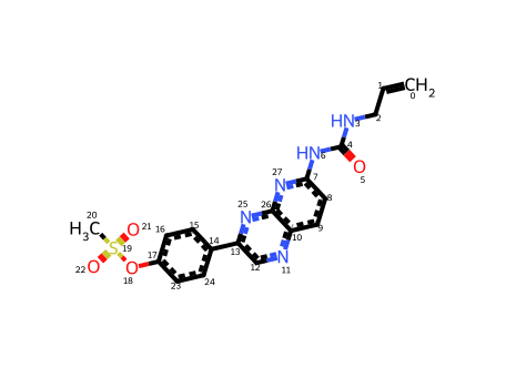 C=CCNC(=O)Nc1ccc2ncc(-c3ccc(OS(C)(=O)=O)cc3)nc2n1